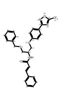 O=C(/C=C/c1ccccc1)N[C@H](COc1ccc(-c2noc(C(F)(F)F)n2)cc1)CSCc1ccccc1